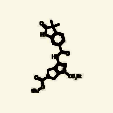 CCOC(=O)n1nc(NC(=O)c2ccc3c(c2)NC(=O)C3(C)C)c2c1CN(C(=O)OC(C)(C)C)C2